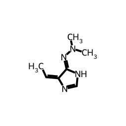 C/C=C1/N=CN/C1=N\N(C)C